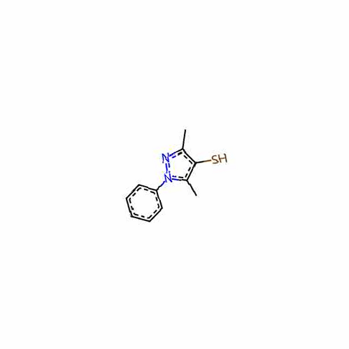 Cc1nn(-c2ccccc2)c(C)c1S